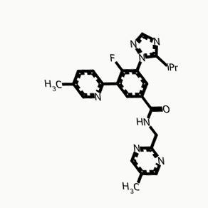 Cc1ccc(-c2cc(C(=O)NCc3ncc(C)cn3)cc(-n3ncnc3C(C)C)c2F)nc1